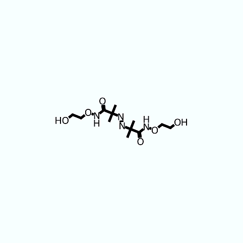 CC(C)(N=NC(C)(C)C(=O)NOCCO)C(=O)NOCCO